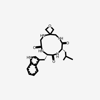 CC(C)C[C@@H]1NC(=O)[C@H](Cc2c[nH]c3ccccc23)NC(=O)CNC2(CNC1=O)COC2